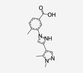 Cc1ccc(C(=O)O)cc1-n1cc(-c2cnn(C)c2C)[nH]1